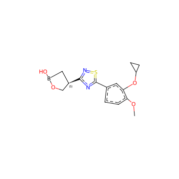 COc1ccc(-c2nc([C@H]3COB(O)C3)ns2)cc1OC1CC1